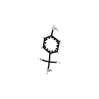 Cc1ccc(C(O)(F)F)cc1